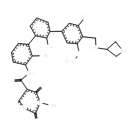 COc1cc(-c2cccc(-c3cccc(NC(=O)c4c[nH]c(=O)n(C)c4=O)c3C)c2C)cc(F)c1CNC1CNC1